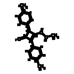 C=c1ccc(=C2C(=O)C(c3ccc(C)cc3)=C2OOC)cc1